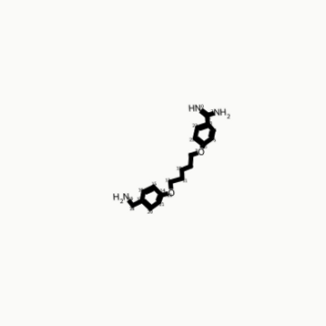 N=C(N)c1ccc(OCCCCCOc2ccc(CN)cc2)cc1